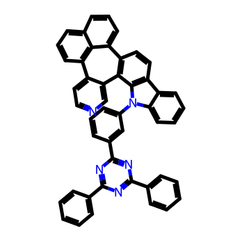 c1ccc(-c2nc(-c3ccccc3)nc(-c3cccc(-n4c5ccccc5c5ccc6c(c54)-c4cnccc4-c4cccc5cccc-6c45)c3)n2)cc1